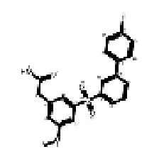 COc1cc(CC(=O)O)cc(S(=O)(=O)c2cccc(-c3ccc(F)cc3)c2)c1